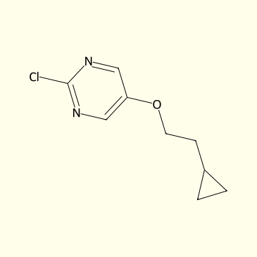 Clc1ncc(OCCC2CC2)cn1